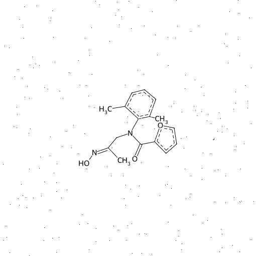 CC(CN(C(=O)c1ccco1)c1c(C)cccc1C)=NO